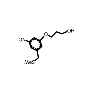 CSCc1cc(N=O)cc(OCCCO)c1